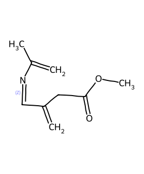 C=C(/C=N\C(=C)C)CC(=O)OC